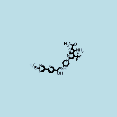 COc1ncc(-c2ccc(C(O)CNC3CCN(c4cc(C(F)(F)F)c5c(N)c(C(N)=O)sc5n4)CC3)cn2)cn1